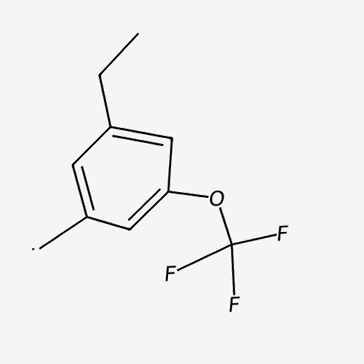 [CH2]c1cc(CC)cc(OC(F)(F)F)c1